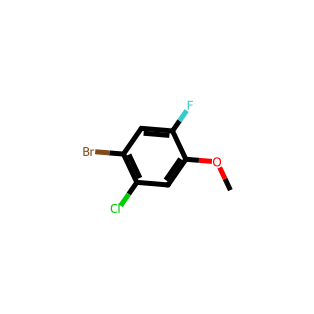 COc1cc(Cl)c(Br)cc1F